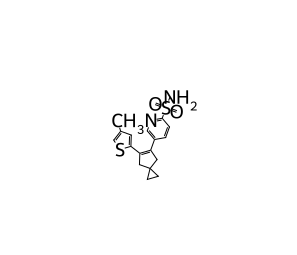 Cc1csc(C2=C(c3ccc(S(N)(=O)=O)nc3)CC3(CC3)C2)c1